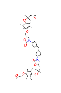 Cc1c(C)c(OC(C)(C)CC2CO2)c(C)c(C)c1OCC1CN(c2ccc(Cc3ccc(N4CC(CC(C)(C)Oc5c(C)c(C)c(OCC6CO6)c(C)c5C)OC4=O)cc3)cc2)C(=O)O1